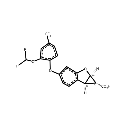 O=C(O)[C@H]1[C@@H]2Oc3cc(Oc4ccc(C(F)(F)F)cc4OC(F)F)ccc3[C@@H]21